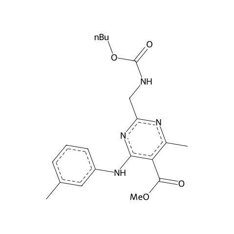 CCCCOC(=O)NCc1nc(C)c(C(=O)OC)c(Nc2cccc(C)c2)n1